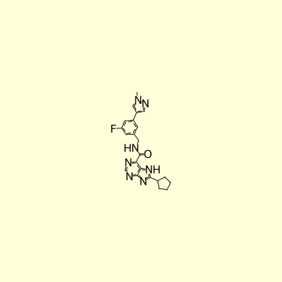 Cn1cc(-c2cc(F)cc(CNC(=O)c3ncnc4nc(C5CCCC5)[nH]c34)c2)cn1